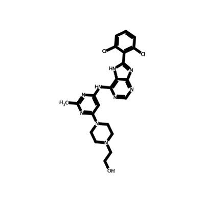 Cc1nc(Nc2ncnc3nc(-c4c(Cl)cccc4Cl)[nH]c23)cc(N2CCN(CCO)CC2)n1